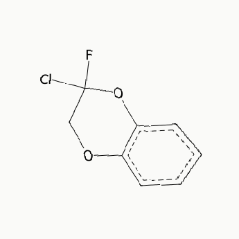 FC1(Cl)COc2ccccc2O1